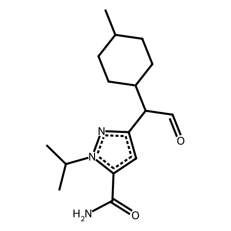 CC1CCC(C(C=O)c2cc(C(N)=O)n(C(C)C)n2)CC1